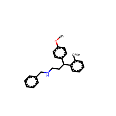 COc1ccccc1C(CCNCc1ccccc1)c1ccc(OC(C)C)cc1